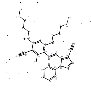 COCCCNc1nc(NCCCOC)c(/N=N/c2c(C#N)cnn2-c2ncccn2)c(C)c1C#N